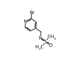 CS(C)(=O)=NCc1ccnc(Br)c1